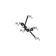 CCCCCCCCCC(c1ccc(C(C)c2ccc(C(CCCCCCCCC)c3ccc(N)cc3C)cc2)cc1)c1ccc(N)cc1C